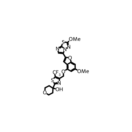 COc1cc(OCc2nc(C3(O)CCOCC3)sc2C(F)(F)F)c2cc(-c3cnc4sc(OC)nn34)oc2c1